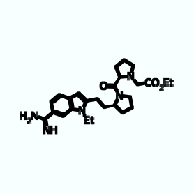 CCOC(=O)CN1CCC[C@@H]1C(=O)N1CCC[C@H]1CCc1cc2ccc(C(=N)N)cc2n1CC